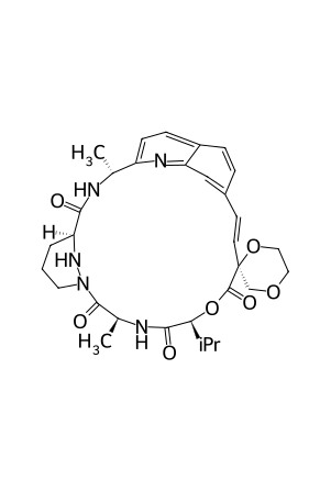 CC(C)[C@@H]1OC(=O)[C@]2(/C=C/c3ccc4ccc(nc4c3)[C@@H](C)NC(=O)[C@@H]3CCCN(N3)C(=O)[C@H](C)NC1=O)COCCO2